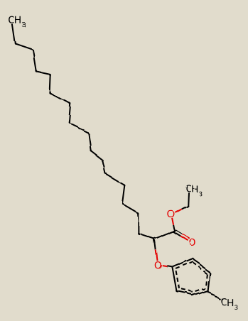 CCCCCCCCCCCCCCCCC(Oc1ccc(C)cc1)C(=O)OCC